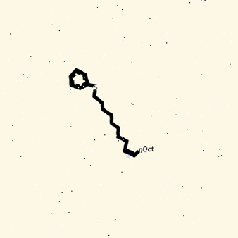 CCCCCCCC/C=C\CCCCCCCCSc1ccccc1